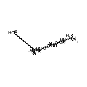 NC(CCCCNC(=O)COCCOCCNC(=O)COCCOCCNC(=O)CC[C@H](NC(=O)CCCCCCCCCCCCCCCCC(=O)O)C(=O)O)C(=O)P